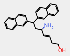 N[C@@H](/C=C/CCO)CC(c1ccc2ccccc2c1)c1ccc2ccccc2c1